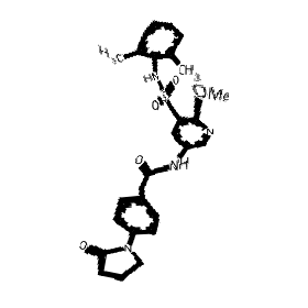 COc1ncc(NC(=O)c2ccc(N3CCCC3=O)cc2)cc1S(=O)(=O)Nc1c(C)cccc1C